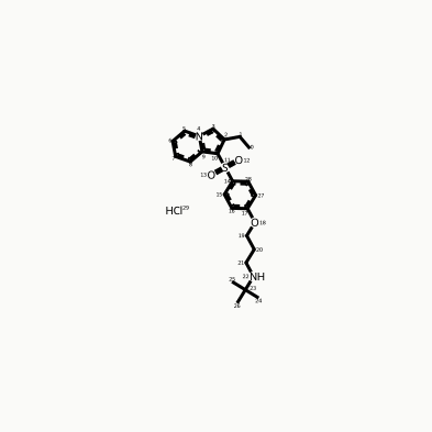 CCc1cn2ccccc2c1S(=O)(=O)c1ccc(OCCCNC(C)(C)C)cc1.Cl